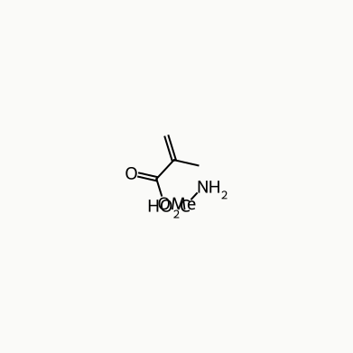 C=C(C)C(=O)OC.NC(=O)O